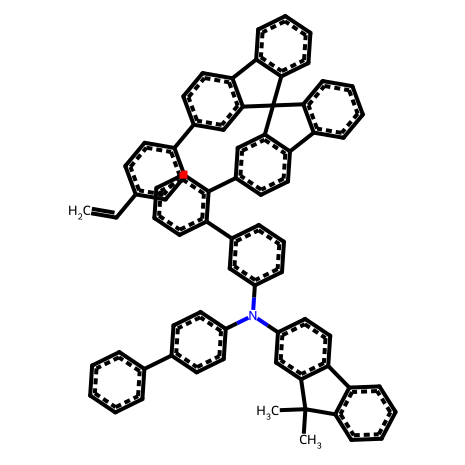 C=Cc1ccc(-c2ccc3c(c2)C2(c4ccccc4-3)c3ccccc3-c3ccc(-c4ccccc4-c4cccc(N(c5ccc(-c6ccccc6)cc5)c5ccc6c(c5)C(C)(C)c5ccccc5-6)c4)cc32)cc1